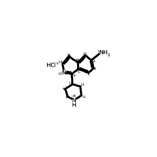 Cl.Nc1ccc2c(C3CCNCC3)nccc2c1